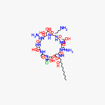 C/C=C1/NC(=O)[C@H]([C@H](C)O)NC(=O)[C@H](CCN)NC(=O)[C@H]([C@H](O)C(=O)O)NC(=O)[C@H](CCCCN)NC(=O)[C@H](CC(=O)O)NC(=O)[C@@H](CCN)NC(=O)[C@@H](NC(=O)CC(O)CCCCCCCCC)COC(=O)[C@H]([C@H](O)CCl)NC1=O